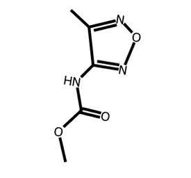 COC(=O)Nc1nonc1C